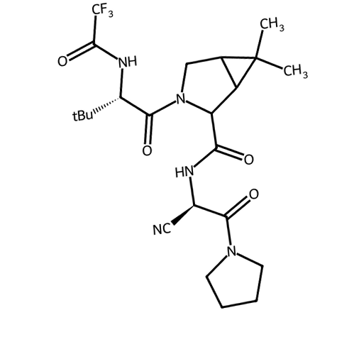 CC1(C)C2CN(C(=O)[C@@H](NC(=O)C(F)(F)F)C(C)(C)C)C(C(=O)N[C@H](C#N)C(=O)N3CCCC3)C21